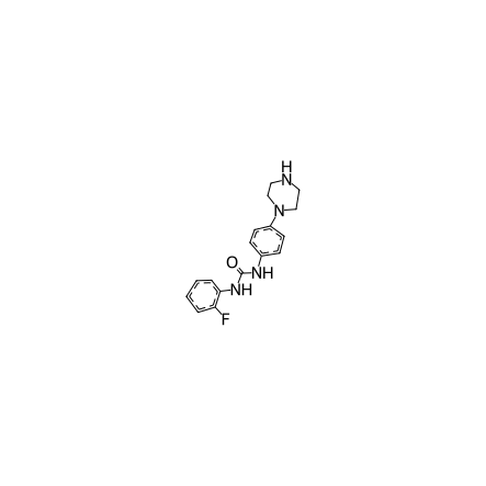 O=C(Nc1ccc(N2CCNCC2)cc1)Nc1ccccc1F